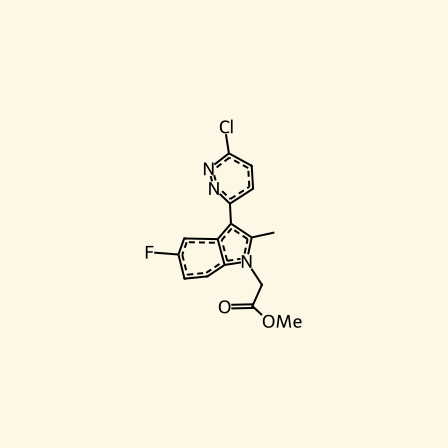 COC(=O)Cn1c(C)c(-c2ccc(Cl)nn2)c2cc(F)ccc21